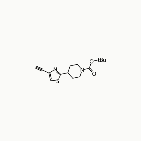 C#Cc1csc(C2CCN(C(=O)OC(C)(C)C)CC2)n1